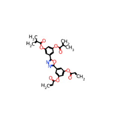 C=CC(=O)Oc1cc(OC(=O)C=C)cc(-c2nnc(-c3cc(OC(=O)C(=C)C)cc(OC(=O)C(=C)C)c3)o2)c1